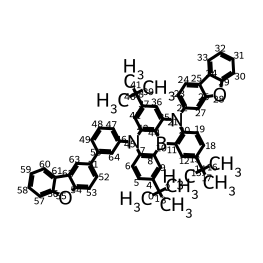 CC(C)(C)c1ccc2c(c1)B1c3cc(C(C)(C)C)ccc3N(c3ccc4c(c3)oc3ccccc34)c3cc(C(C)(C)C)cc(c31)N2c1cccc(-c2ccc3oc4ccccc4c3c2)c1